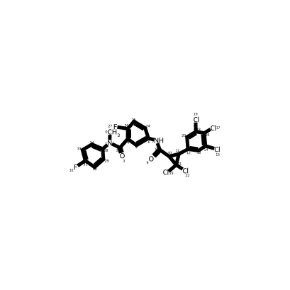 CN(C(=O)c1cc(NC(=O)C2C(c3cc(Cl)c(Cl)c(Cl)c3)C2(Cl)Cl)ccc1F)c1ccc(F)cc1